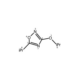 CC(C)Oc1noc(C(C)C)n1